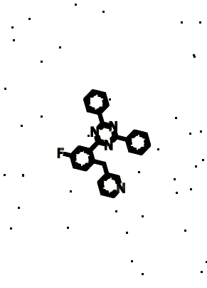 Fc1ccc(Cc2cccnc2)c(-c2nc(-c3ccccc3)nc(-c3ccccc3)n2)c1